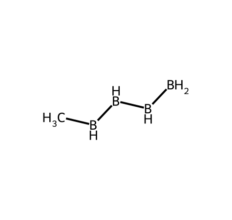 BBBBC